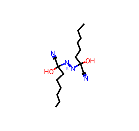 CCCCCCC(O)(C#N)/N=N/C(O)(C#N)CCCCCC